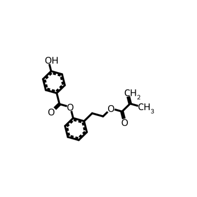 C=C(C)C(=O)OCCc1ccccc1OC(=O)c1ccc(O)cc1